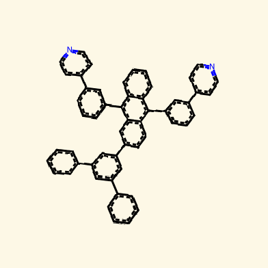 c1ccc(-c2cc(-c3ccccc3)cc(-c3ccc4c(-c5cccc(-c6ccncc6)c5)c5ccccc5c(-c5cccc(-c6ccncc6)c5)c4c3)c2)cc1